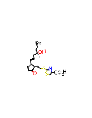 CC(C)CC[C@@](C)(O)C/C=C/[C@@H]1CCC(=O)[C@@H]1CCSc1nc(C(=O)O)cs1